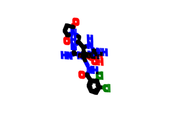 N=C1NC2[C@H](CN3C(=O)CCC3=O)NC(=N)N3CC(NC(=O)c4cccc(Cl)c4Cl)C(O)(O)[C@@]23N1